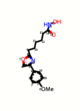 COc1ccc(-c2coc(CCCCCC(=O)NO)n2)cc1